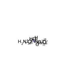 Cl.NCc1ccc(/N=C/NC(=O)OCc2ccccc2)cc1